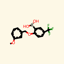 COc1cccc(COc2ccc(C(F)(F)F)cc2B(O)O)c1